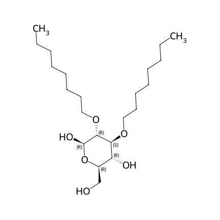 CCCCCCCCO[C@@H]1[C@@H](OCCCCCCCC)[C@H](O)[C@@H](CO)O[C@H]1O